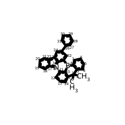 CC1(C)c2ccccc2B2c3c(cccc31)-n1c3ccccc3c3cc(-c4ccccc4)cc2c31